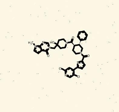 Cn1ccc2c(=O)n(CC3(O)CCN(C(=O)[C@@H]4CCN(C(=O)c5ccc(-c6cc(Cl)ncc6Cl)s5)C[C@H]4c4ccccc4)CC3)cnc21